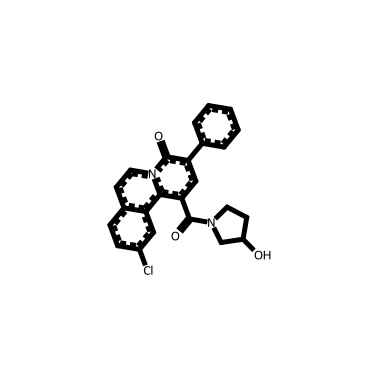 O=C(c1cc(-c2ccccc2)c(=O)n2ccc3ccc(Cl)cc3c12)N1CCC(O)C1